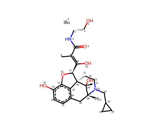 CC[C@H](C)[C@H](CO)NC(=O)/C(C)=C(\O)[C@@H]1Oc2c(O)ccc3c2[C@@]12CCN(CC1CC1)[C@H](C3)[C@@]2(C)O